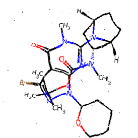 CN(C(=O)OC(C)(C)C)[C@@H]1C[C@@H]2CC[C@H]1N2c1nc2c(c(Br)nn2C2CCCCO2)c(=O)n1C